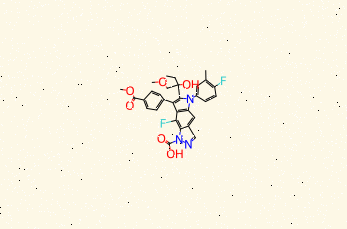 CCC(O)(COC)c1c(-c2ccc(C(=O)OC)cc2)c2c(F)c3c(cnn3C(=O)O)cc2n1-c1ccc(F)c(C)c1